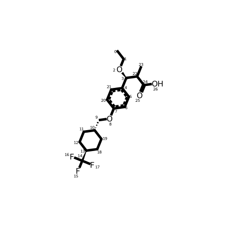 CCO[C@H](c1ccc(OC[C@H]2CC[C@H](C(F)(F)F)CC2)cc1)C(C)C(=O)O